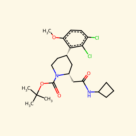 COc1ccc(Cl)c(Cl)c1[C@H]1CCN(C(=O)OC(C)(C)C)[C@@H](CC(=O)NC2CCC2)C1